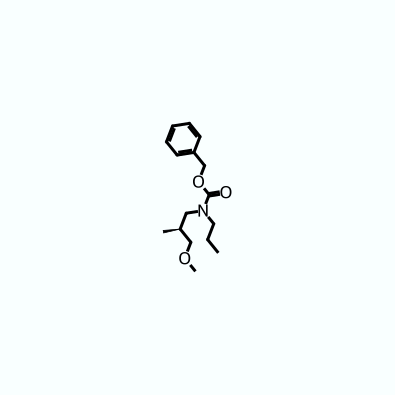 CCCN(C[C@H](C)COC)C(=O)OCc1ccccc1